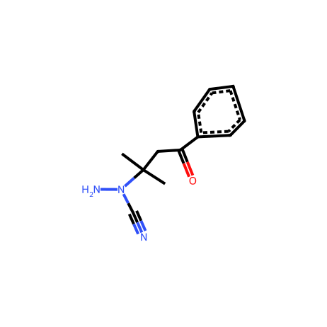 CC(C)(CC(=O)c1ccccc1)N(N)C#N